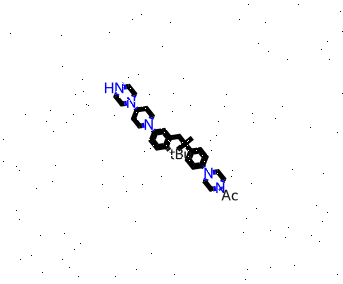 CC(=O)N1CCN(c2ccc(C(C)(C)Cc3cc(N4CCC(N5CCNCC5)CC4)ccc3C(C)(C)C)cc2)CC1